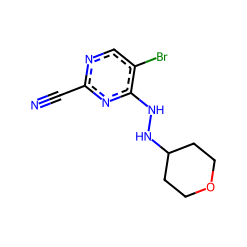 N#Cc1ncc(Br)c(NNC2CCOCC2)n1